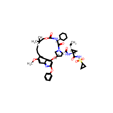 C=C[C@@H]1C[C@]1(NC(=O)[C@@H]1C[C@@H]2CN1C(=O)[C@H](C1CCCCC1)NC(=O)OCC(C)(C)CCCc1cc3c(cc(Oc4ccccc4)nc3cc1OC)O2)C(=O)NS(=O)(=O)C1CC1